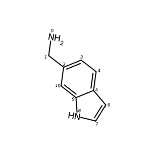 NCc1ccc2[c]c[nH]c2c1